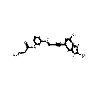 C/C=C/C(=O)Nc1cccc(OCC#Cc2cc(O)c3nc(N)sc3c2)c1